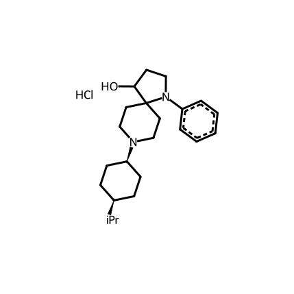 CC(C)[C@H]1CC[C@@H](N2CCC3(CC2)C(O)CCN3c2ccccc2)CC1.Cl